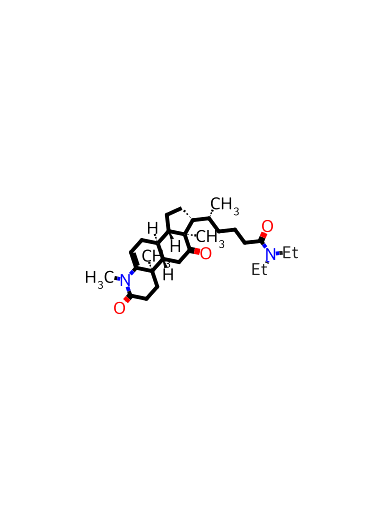 CCN(CC)C(=O)CCC[C@@H](C)[C@H]1CC[C@H]2[C@@H]3CC=C4N(C)C(=O)CC[C@]4(C)[C@H]3CC(=O)[C@]12C